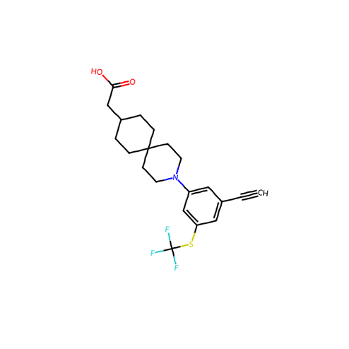 C#Cc1cc(SC(F)(F)F)cc(N2CCC3(CCC(CC(=O)O)CC3)CC2)c1